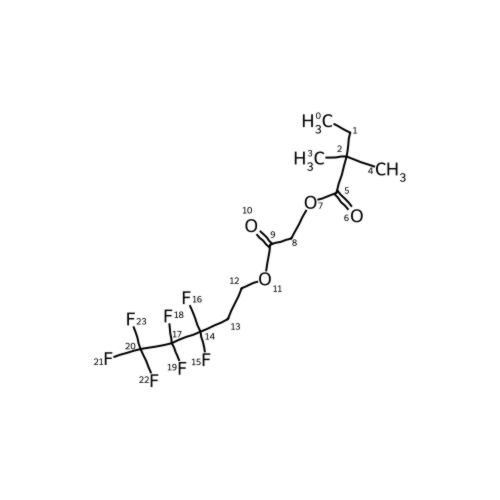 CCC(C)(C)C(=O)OCC(=O)OCCC(F)(F)C(F)(F)C(F)(F)F